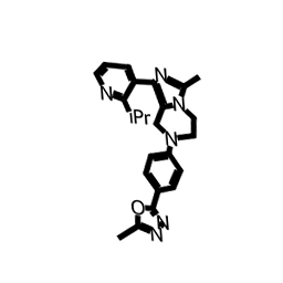 Cc1nnc(-c2ccc(N3CCn4c(C)nc(-c5cccnc5C(C)C)c4C3)cc2)o1